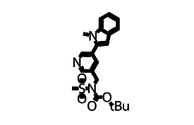 Cn1c(-c2cncc(CN(C(=O)OC(C)(C)C)S(C)(=O)=O)c2)cc2ccccc21